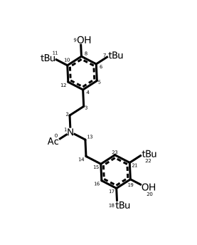 CC(=O)N(CCc1cc(C(C)(C)C)c(O)c(C(C)(C)C)c1)CCc1cc(C(C)(C)C)c(O)c(C(C)(C)C)c1